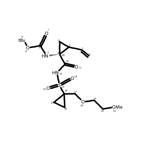 C=CC1C[C@]1(NC(=O)OC(C)(C)C)C(=O)NS(=O)(=O)C1(COCCOC)CC1